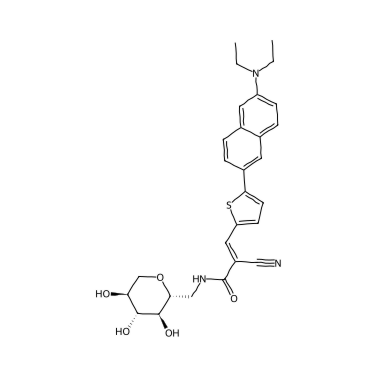 CCN(CC)c1ccc2cc(-c3ccc(/C=C(\C#N)C(=O)NC[C@H]4OC[C@H](O)[C@@H](O)[C@@H]4O)s3)ccc2c1